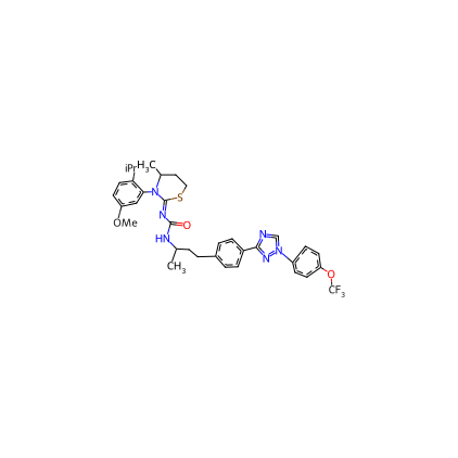 COc1ccc(C(C)C)c(N2/C(=N/C(=O)NC(C)CCc3ccc(-c4ncn(-c5ccc(OC(F)(F)F)cc5)n4)cc3)SCCC2C)c1